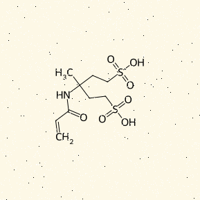 C=CC(=O)NC(C)(CCS(=O)(=O)O)CCS(=O)(=O)O